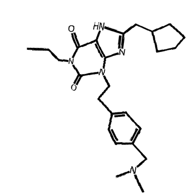 CCCn1c(=O)c2[nH]c(CC3CCCC3)nc2n(CCc2ccc(CN(C)C)cc2)c1=O